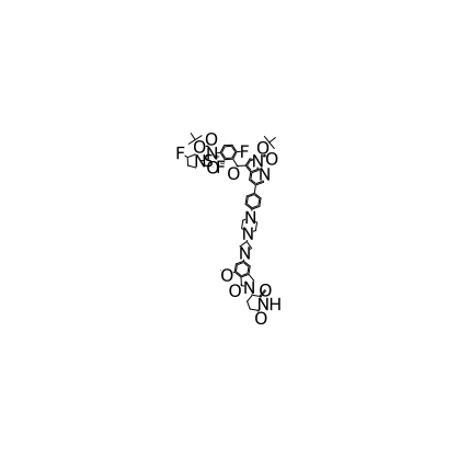 COc1cc(N2CC(N3CCN(c4ccc(-c5cnc6c(c5)c(C(=O)c5c(F)ccc(N(C(=O)OC(C)(C)C)[S+]([O-])N7CCC(F)C7)c5F)cn6C(=O)OC(C)(C)C)cc4)CC3)C2)cc2c1C(=O)N(C1CCC(=O)NC1=O)C2